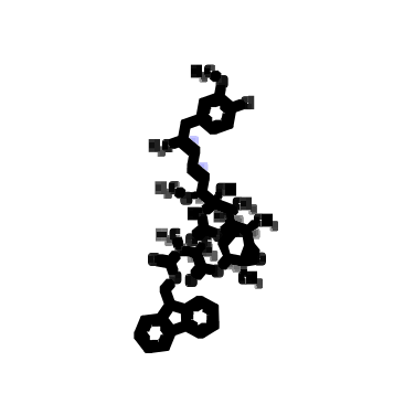 CNC(=O)C[C@H](OC(=O)[C@H](C)N(C)C(=O)OCC1c2ccccc2-c2ccccc21)[C@]1(C)OC1[C@H](C)[C@@H]1C[C@](O)([C@@H](/C=C/C=C(\C)Cc2ccc(Cl)c(OC)c2)OC)NC(=O)O1